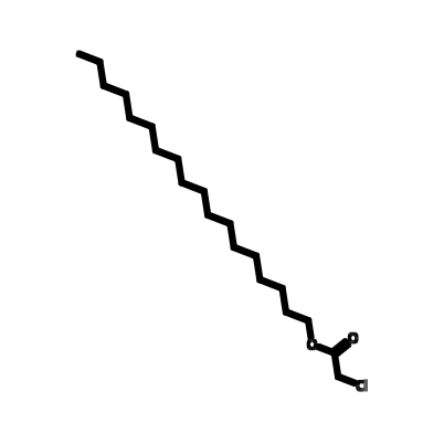 CCCCCCCCCCCCCCCCCCOC(=O)CCl